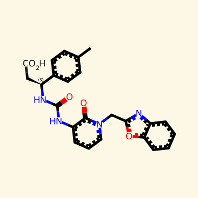 Cc1ccc([C@H](CC(=O)O)NC(=O)Nc2cccn(Cc3nc4ccccc4o3)c2=O)cc1